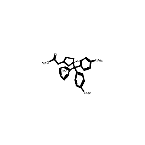 COC(=O)CC1CC[C@](O)(C(c2ccccc2)(c2ccc(OC)cc2)c2ccc(OC)cc2)[C@H]1O